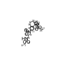 CCOC(=O)NCC1CN(c2ccc3c(c2)CCCc2cnn(C(=O)OCC)c2-3)C(=O)O1